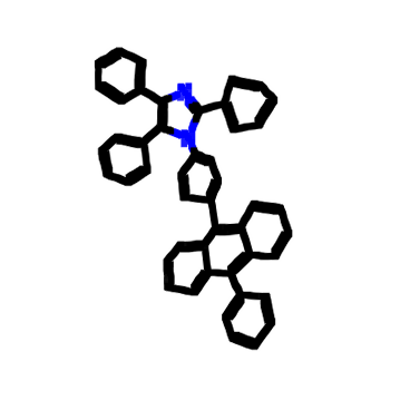 c1ccc(-c2nc(-c3ccccc3)n(-c3ccc(-c4c5ccccc5c(-c5ccccc5)c5ccccc45)cc3)c2-c2ccccc2)cc1